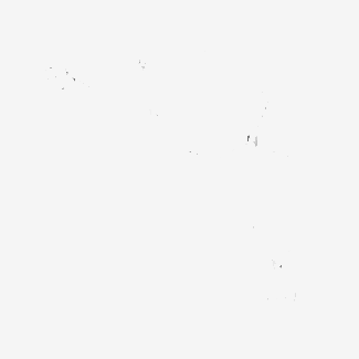 O=C(O)N1CC(CN2CCOc3nc([N+](=O)[O-])cn3CC2)C1